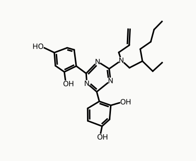 C=CCN(CC(CC)CCCC)c1nc(-c2ccc(O)cc2O)nc(-c2ccc(O)cc2O)n1